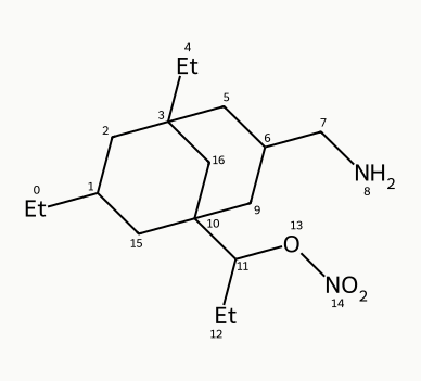 CCC1CC2(CC)CC(CN)CC(C(CC)O[N+](=O)[O-])(C1)C2